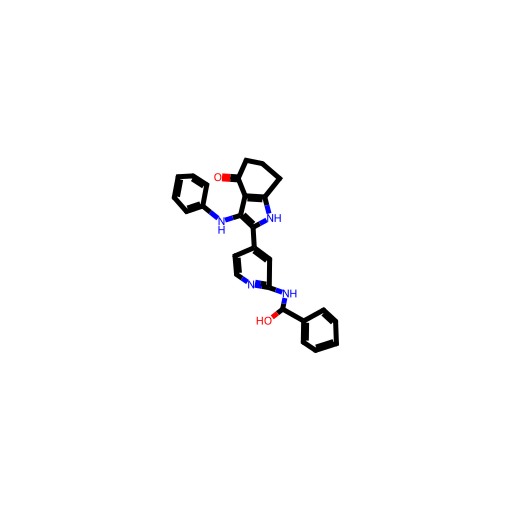 O=C1CCCc2[nH]c(-c3ccnc(NC(O)c4ccccc4)c3)c(Nc3ccccc3)c21